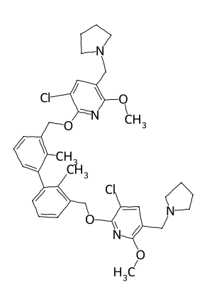 COc1nc(OCc2cccc(-c3cccc(COc4nc(OC)c(CN5CCCC5)cc4Cl)c3C)c2C)c(Cl)cc1CN1CCCC1